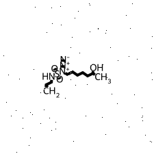 C=CCNS(=O)(=O)[N+](CCCCCC(C)O)=[N+]=[N-]